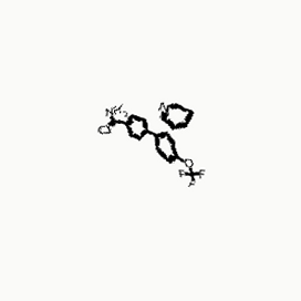 NC(=O)c1ccc(-c2ccc(OC(F)(F)F)cc2)cc1.c1ccncc1